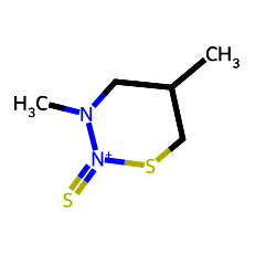 CC1CS[N+](=S)N(C)C1